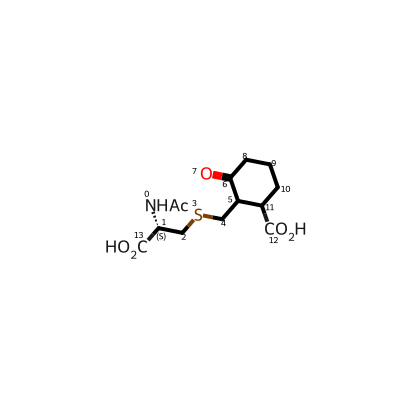 CC(=O)N[C@H](CSCC1C(=O)CCCC1C(=O)O)C(=O)O